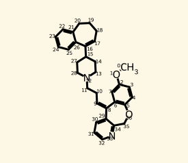 COc1ccc2c(c1)C(=CCCN1CCC(C3=CCCCc4ccccc43)CC1)c1cccnc1CO2